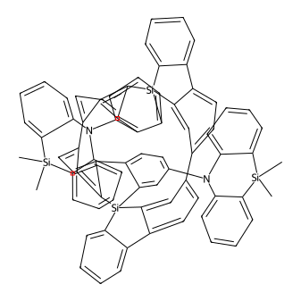 C[Si]1(C)c2ccccc2N(c2ccc3c(c2)[Si]24c5ccccc5-c5ccc(cc52)-c2ccc5c(c2)[Si]2(c6ccccc6-5)c5cc(ccc5-c5c(N6c7ccccc7[Si](C)(C)c7ccccc76)cccc52)-c2ccc-3c4c2)c2ccccc21